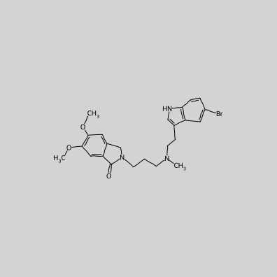 COc1cc2c(cc1OC)C(=O)N(CCCN(C)CCc1c[nH]c3ccc(Br)cc13)C2